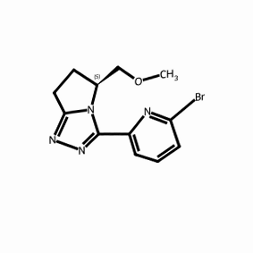 COC[C@@H]1CCc2nnc(-c3cccc(Br)n3)n21